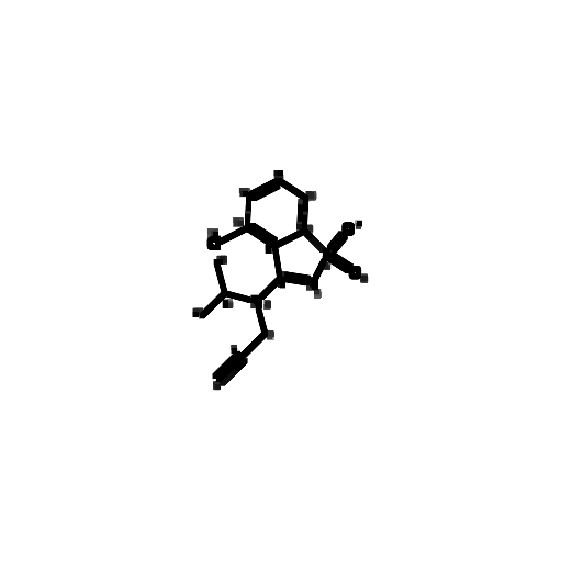 C#CCN(C1=NS(=O)(=O)c2cccc(Cl)c21)C(C)C